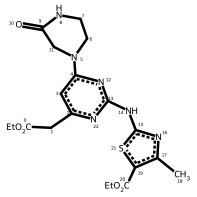 CCOC(=O)Cc1cc(N2CCNC(=O)C2)nc(Nc2nc(C)c(C(=O)OCC)s2)n1